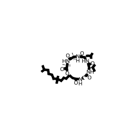 CC(C)CCCCC(C)(C)CCCC1CC(=O)NCC(=O)N[C@@H](C(C)C)C(=O)N[C@@H](CC(C)C)C(=O)N[C@@H](C)C(=O)N[C@@H](C)C(=O)O1